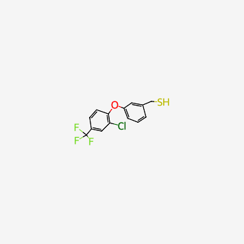 FC(F)(F)c1ccc(Oc2cccc(CS)c2)c(Cl)c1